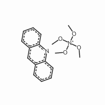 CO[N+](OC)(OC)OC.c1ccc2nc3ccccc3cc2c1